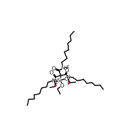 CCCCCCCCN(F)C(=O)C(C(=O)N(F)CCCCCCCC)(C(=O)N(F)CCCCCCCC)[Si](OCC)(OCC)OCC